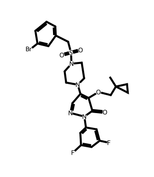 CC1(COc2c(N3CCN(S(=O)(=O)Cc4cccc(Br)c4)CC3)cnn(-c3cc(F)cc(F)c3)c2=O)CC1